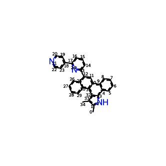 Cc1[nH]c2c3ccccc3c3cc(-c4cccc(-c5ccncc5)n4)c4ccccc4c3c2c1C